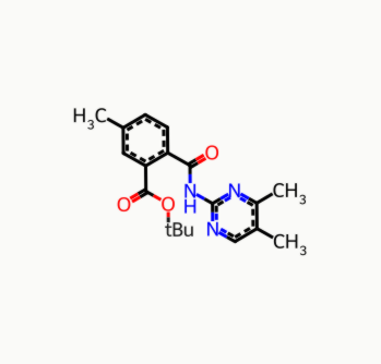 Cc1ccc(C(=O)Nc2ncc(C)c(C)n2)c(C(=O)OC(C)(C)C)c1